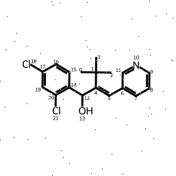 CC(C)(C)/C(=C\c1cccnc1)C(O)c1ccc(Cl)cc1Cl